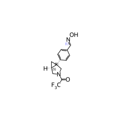 O=C(N1C[C@H]2C[C@@]2(c2ccc(/C=N/O)cc2)C1)C(F)(F)F